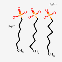 CCCCCCCP(=O)([O-])[O-].CCCCCCCP(=O)([O-])[O-].CCCCCCCP(=O)([O-])[O-].[Fe+3].[Fe+3]